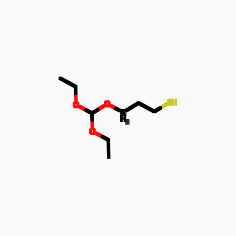 CCOC(OCC)O[SiH2]CCS